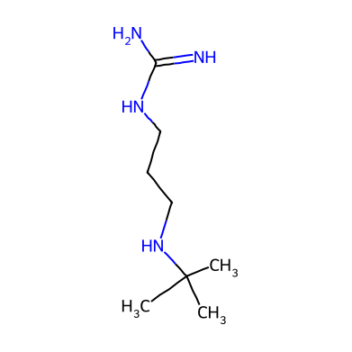 CC(C)(C)NCCCNC(=N)N